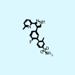 Cc1cccc(-c2n[nH]cc2-c2ccc(F)c(-c3ccc(S(N)(=O)=O)cc3C)c2)n1